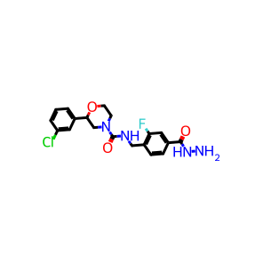 NNC(=O)c1ccc(CNC(=O)N2CCOC(c3cccc(Cl)c3)C2)c(F)c1